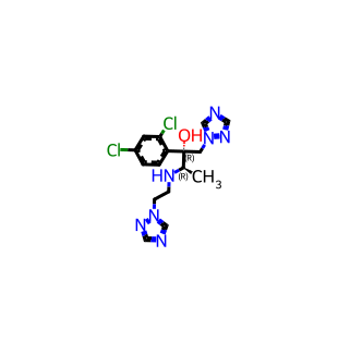 C[C@@H](NCCn1cncn1)[C@](O)(Cn1cncn1)c1ccc(Cl)cc1Cl